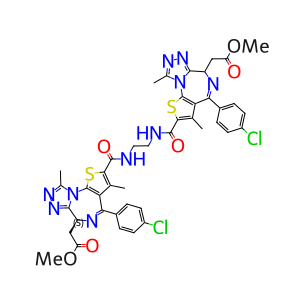 COC(=O)CC1N=C(c2ccc(Cl)cc2)c2c(sc(C(=O)NCCNC(=O)c3sc4c(c3C)C(c3ccc(Cl)cc3)=N[C@@H](CC(=O)OC)c3nnc(C)n3-4)c2C)-n2c(C)nnc21